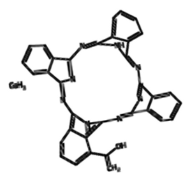 C=C(O)c1cccc2c3nc4nc(nc5[nH]c(nc6nc(nc([nH]3)c12)-c1ccccc1-6)c1ccccc51)-c1ccccc1-4.[GaH3]